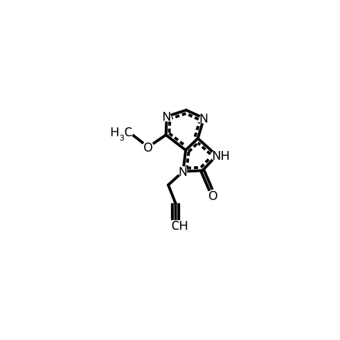 C#CCn1c(=O)[nH]c2ncnc(OC)c21